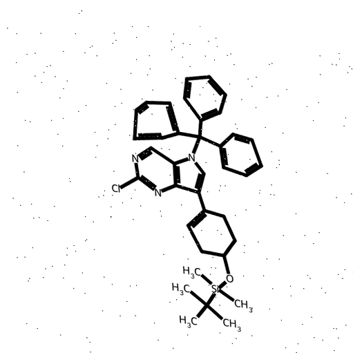 CC(C)(C)[Si](C)(C)OC1CC=C(c2cn(C(c3ccccc3)(c3ccccc3)c3ccccc3)c3cnc(Cl)nc23)CC1